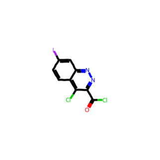 O=C(Cl)c1nnc2cc(I)ccc2c1Cl